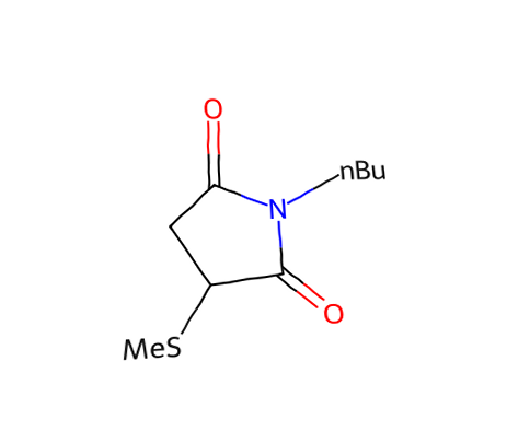 CCCCN1C(=O)CC(SC)C1=O